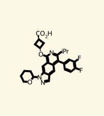 CC(C)c1nc(O[C@H]2C[C@H](C(=O)O)C2)c2cc3c(cnn3C3CCCCO3)cc2c1-c1ccc(F)c(F)c1